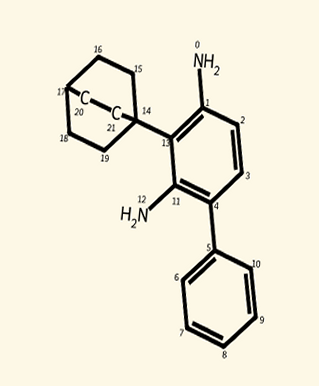 Nc1ccc(-c2ccccc2)c(N)c1C12CCC(CC1)CC2